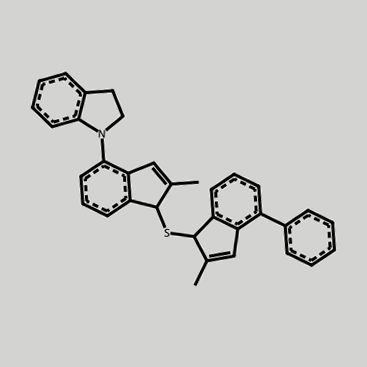 CC1=Cc2c(-c3ccccc3)cccc2C1SC1C(C)=Cc2c1cccc2N1CCc2ccccc21